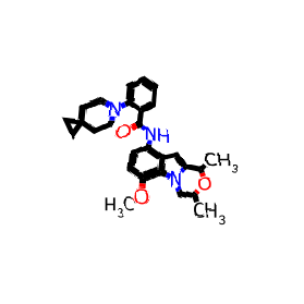 COc1ccc(NC(=O)c2ccccc2N2CCC3(CC2)CC3)c2cc3n(c12)CC(C)OC3C